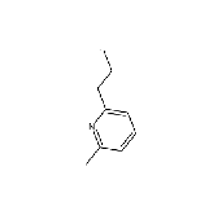 [CH2]CCc1cccc(C)n1